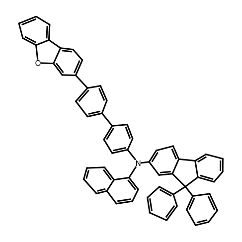 c1ccc(C2(c3ccccc3)c3ccccc3-c3ccc(N(c4ccc(-c5ccc(-c6ccc7c(c6)oc6ccccc67)cc5)cc4)c4cccc5ccccc45)cc32)cc1